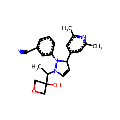 Cc1cc(C2C=CN(C(C)C3(O)COC3)N2c2cccc(C#N)c2)cc(C)n1